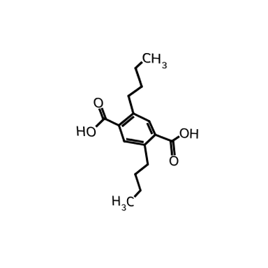 CCCCc1cc(C(=O)O)c(CCCC)cc1C(=O)O